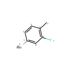 CC[C@@H](C)c1ccc(C)c(F)c1